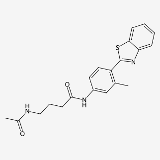 CC(=O)NCCCC(=O)Nc1ccc(-c2nc3ccccc3s2)c(C)c1